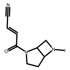 N#C/C=C/C(=O)N1CCC2C1CN2I